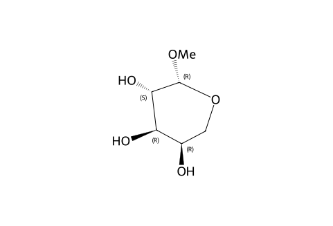 CO[C@@H]1OC[C@@H](O)[C@@H](O)[C@@H]1O